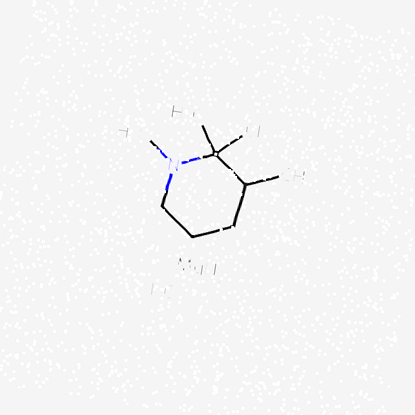 CC1CCCN(C)C1(C)C.Cl.[MgH2]